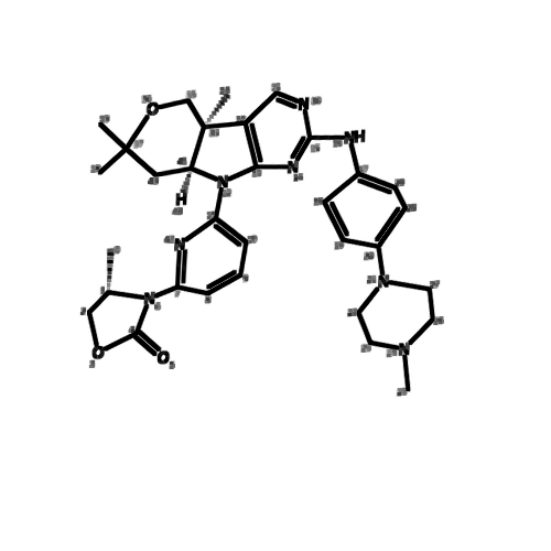 C[C@H]1COC(=O)N1c1cccc(N2c3nc(Nc4ccc(N5CCN(C)CC5)cc4)ncc3[C@]3(C)COC(C)(C)C[C@H]23)n1